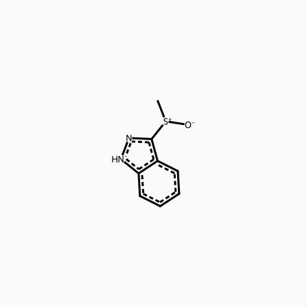 C[S+]([O-])c1n[nH]c2ccccc12